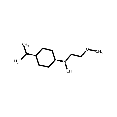 COCCN(C)[C@H]1CC[C@@H](C(C)C)CC1